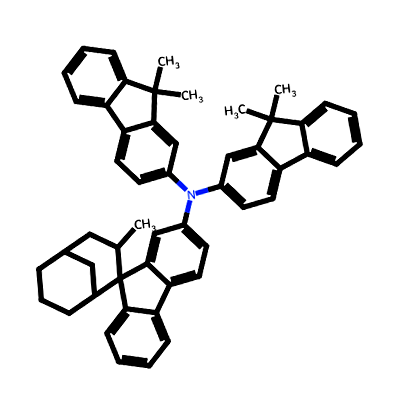 CC1CC2CCCC(C2)C12c1ccccc1-c1ccc(N(c3ccc4c(c3)C(C)(C)c3ccccc3-4)c3ccc4c(c3)C(C)(C)c3ccccc3-4)cc12